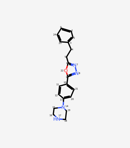 c1ccc(CCc2nnc(-c3ccc(N4CCNCC4)cc3)o2)cc1